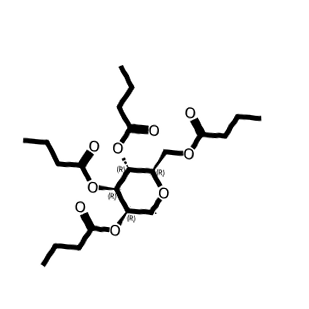 CCCC(=O)OC[C@H]1O[CH][C@@H](OC(=O)CCC)[C@@H](OC(=O)CCC)[C@@H]1OC(=O)CCC